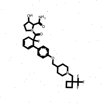 NC(=O)C1C(O)CCN1C(=O)C1(F)CC=CC=C1c1ccc(OCC2CCN(CC3(C(F)(F)F)CCC3)CC2)cc1